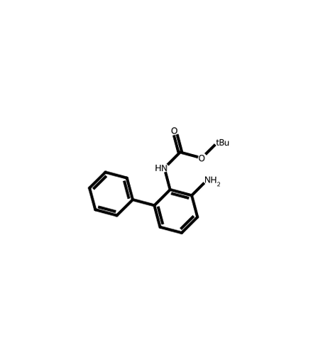 CC(C)(C)OC(=O)Nc1c(N)cccc1-c1ccccc1